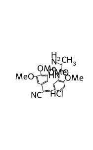 COc1ccc(C=C(C#N)c2cc(OC)c(OC)c(OC)c2)cc1NC(=O)C(C)N.Cl